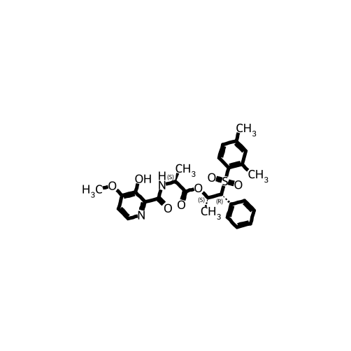 COc1ccnc(C(=O)N[C@@H](C)C(=O)O[C@@H](C)[C@@H](c2ccccc2)S(=O)(=O)c2ccc(C)cc2C)c1O